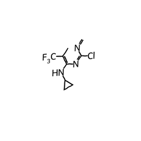 C=N/C(Cl)=N\C(NC1CC1)=C(/C)C(F)(F)F